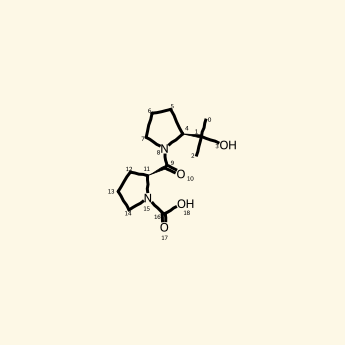 CC(C)(O)[C@@H]1CCCN1C(=O)[C@@H]1CCCN1C(=O)O